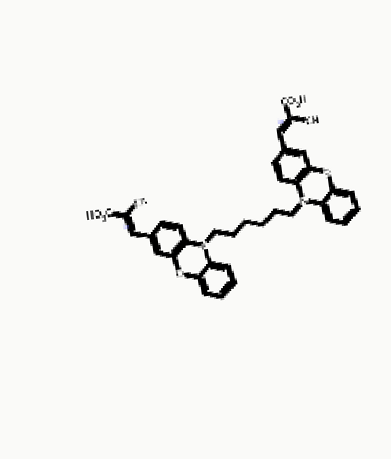 N#C/C(=C\c1ccc2c(c1)Oc1ccccc1N2CCCCCCN1c2ccccc2Oc2cc(/C=C(\C#N)C(=O)O)ccc21)C(=O)O